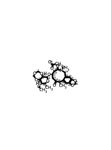 CO[C@H]1[C@@H]2OCOCO[C@H]2[C@H](O[C@@H]2CC(=O)[C@@H](C)c3cc4c(cc3CN(C)C(=O)[C@H]2OC(C)=O)OCO4)O[C@@H]1C